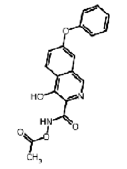 CC(=O)ONC(=O)c1ncc2cc(Oc3ccccc3)ccc2c1O